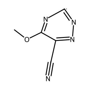 COc1n[c]nnc1C#N